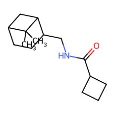 CC1(C)C2CCC(CNC(=O)C3CCC3)C1C2